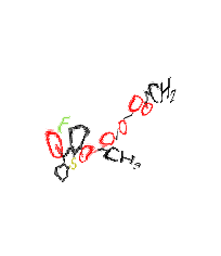 C=CC(=O)OCCOCCOC(C)Oc1ccc(F)c2c(=O)c3ccccc3sc12